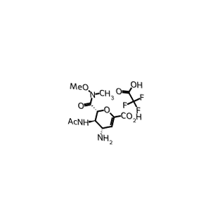 CON(C)C(=O)[C@@H]1OC(C(=O)O)=C[C@H](N)[C@H]1NC(C)=O.O=C(O)C(F)(F)F